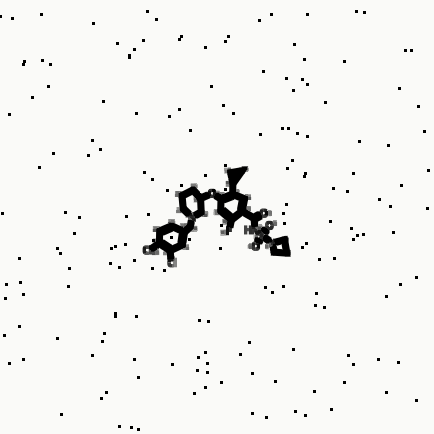 O=C(NS(=O)(=O)N1CCC1)c1cc(C2CC2)c(OC2CCCN(Cc3ccc(Cl)c(Cl)c3)C2)cc1F